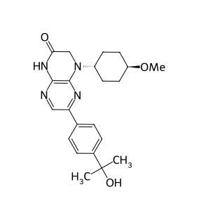 CO[C@H]1CC[C@H](N2CC(=O)Nc3ncc(-c4ccc(C(C)(C)O)cc4)nc32)CC1